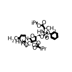 C=C1C=CN([C@@H]2O[C@H](COP(=O)(N[C@@H](C)C(=O)OC(C)C)Oc3ccccc3)[C@@H](OC(=O)C(C)C)[C@@]2(C)C#N)C(=O)N1